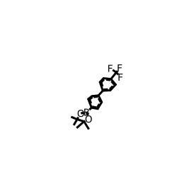 CC1(C)OB(c2ccc(-c3ccc(C(F)(F)F)cc3)cc2)OC1(C)C